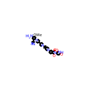 COc1cc(N2CCC(C3CCN(C4CC5(CCN(c6ccc7c(c6)C(=O)N(C6CCC(=O)NC6=O)C7=O)CC5)C4)CC3)CC2)c(-c2cnn(C)c2)cc1N